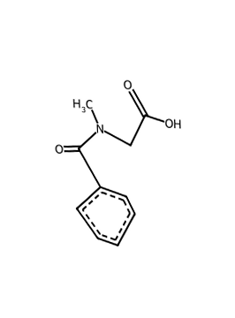 CN(CC(=O)O)C(=O)c1ccccc1